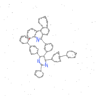 c1ccc(-c2ccc(-c3nc(-c4ccccc4)nc(-c4ccc(-c5ccccc5)cc4)c3-c3cccc(-c4nc5ccccc5c5c4ccc4ccccc45)c3)cc2)cc1